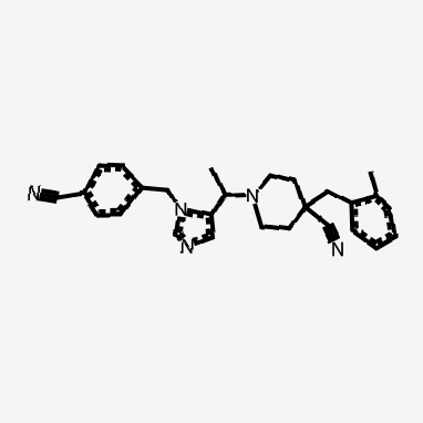 Cc1ccccc1CC1(C#N)CCN(C(C)c2cncn2Cc2ccc(C#N)cc2)CC1